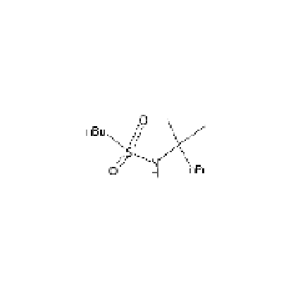 CCCCS(=O)(=O)NC(C)(C)CCC